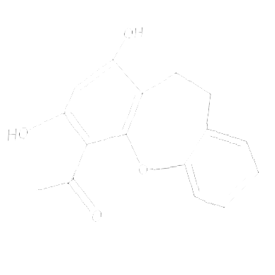 CC(=O)c1c(O)cc(O)c2c1Oc1ccccc1CC2